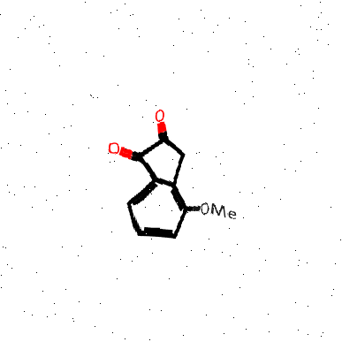 COc1cccc2c1CC(=O)C2=O